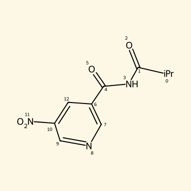 CC(C)C(=O)NC(=O)c1cncc([N+](=O)[O-])c1